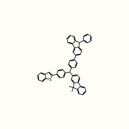 CC1(C)c2ccccc2-c2ccc(C(c3ccc(-c4ccc5c(c4)-c4ccccc4C5c4ccccc4)cc3)c3ccc(-c4cc5ccccc5s4)cc3)cc21